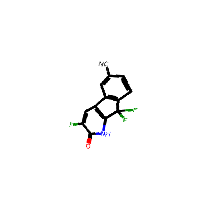 N#Cc1ccc2c(c1)-c1cc(F)c(=O)[nH]c1C2(F)F